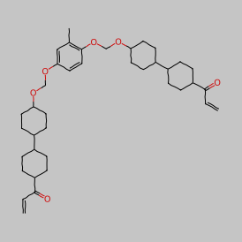 C=CC(=O)C1CCC(C2CCC(OCOc3ccc(OCOC4CCC(C5CCC(C(=O)C=C)CC5)CC4)c(C)c3)CC2)CC1